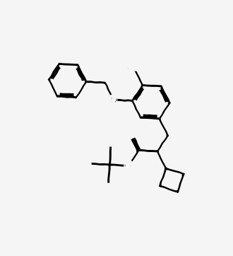 CC(C)(C)OC(=O)C(Cc1ccc(Cl)c(NCc2ccccc2)c1)C1CCC1